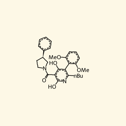 CCCCc1nc(O)c(C(=O)N2CC[C@@H](c3ccccc3)C2)c(O)c1-c1c(OC)cccc1OC